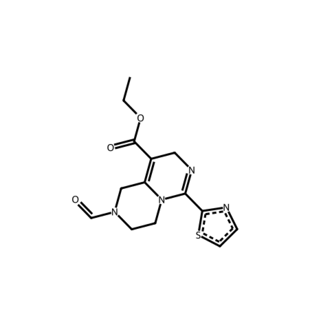 CCOC(=O)C1=C2CN(C=O)CCN2C(c2nccs2)=NC1